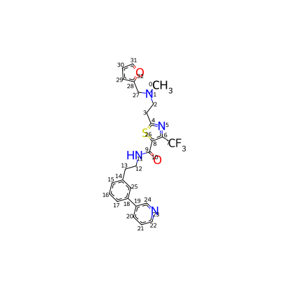 CN(CCc1nc(C(F)(F)F)c(C(=O)NCCc2cccc(-c3cccnc3)c2)s1)Cc1ccco1